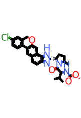 COC(=O)NC(C(=O)N1C(C)CC[C@H]1c1nc2ccc3cc4c(cc3c2[nH]1)OCc1cc(Cl)ccc1-4)C(C)C